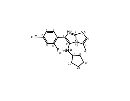 Cc1csc2nc(-c3ccc(F)cc3F)c(NC3CCCC3)n12